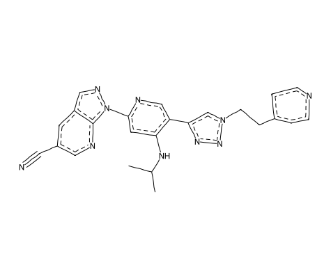 CC(C)Nc1cc(-n2ncc3cc(C#N)cnc32)ncc1-c1cn(CCc2ccncc2)nn1